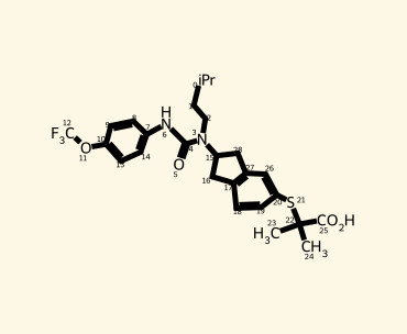 CC(C)CCN(C(=O)Nc1ccc(OC(F)(F)F)cc1)C1Cc2ccc(SC(C)(C)C(=O)O)cc2C1